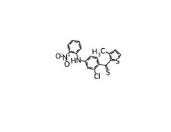 Cc1ccsc1C(=S)c1ccc(Nc2ccccc2[N+](=O)[O-])cc1Cl